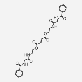 O=C(CNC(=O)c1ccccc1)NCCOC(=O)/C=C/C(=O)OCCNC(=O)CNC(=O)c1ccccc1